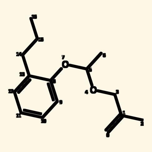 C=C(C)COC(C)Oc1ccccc1CCC